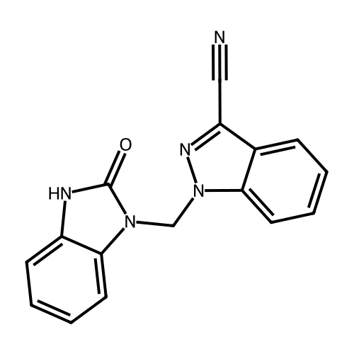 N#Cc1nn(Cn2c(=O)[nH]c3ccccc32)c2ccccc12